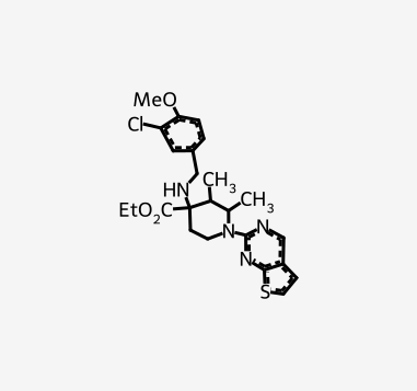 CCOC(=O)C1(NCc2ccc(OC)c(Cl)c2)CCN(c2ncc3ccsc3n2)C(C)C1C